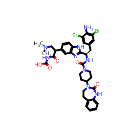 CN(C)CC(C(=O)NC(=O)O)c1ccc2[nH]c([C@@H](Cc3cc(Br)c(N)c(Br)c3)NC(=O)N3CCC(N4CCc5ccccc5NC4=O)CC3)nc2c1